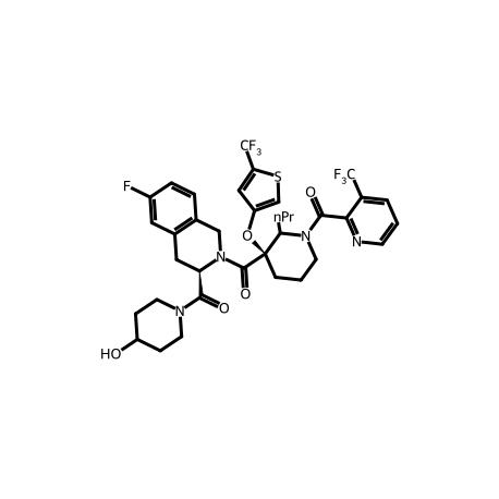 CCCC1N(C(=O)c2ncccc2C(F)(F)F)CCC[C@]1(Oc1csc(C(F)(F)F)c1)C(=O)N1Cc2ccc(F)cc2C[C@@H]1C(=O)N1CCC(O)CC1